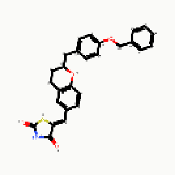 O=C1NC(=O)C(=Cc2ccc3c(c2)CCC(Cc2ccc(OCc4ccccc4)cc2)O3)S1